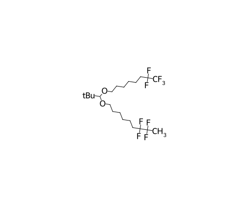 CC(C)(C)C(OCCCCCCC(F)(F)C(C)(F)F)OCCCCCCC(F)(F)C(F)(F)F